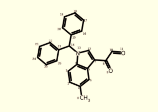 Cc1ccc2c(c1)c(C(=O)C=O)cn2C(c1ccccc1)c1ccccc1